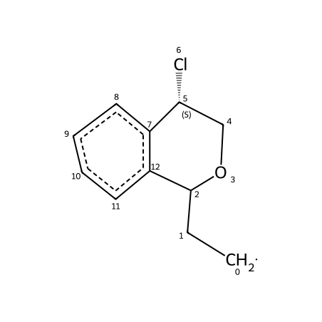 [CH2]CC1OC[C@@H](Cl)c2ccccc21